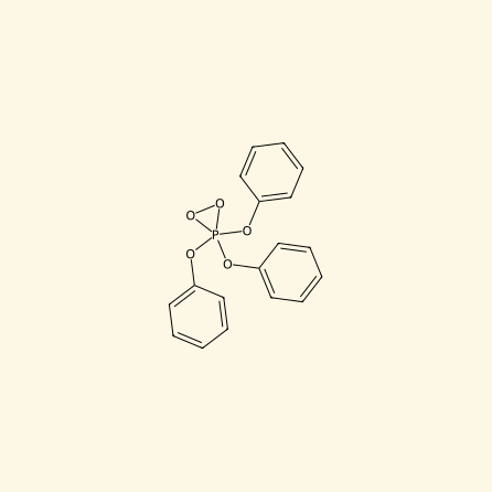 c1ccc(OP2(Oc3ccccc3)(Oc3ccccc3)OO2)cc1